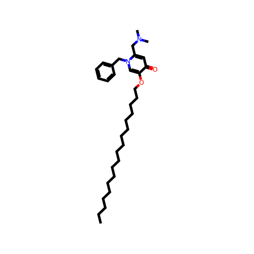 CCCCCCCCCCCCCCCCCCOc1cn(Cc2ccccc2)c(CN(C)C)cc1=O